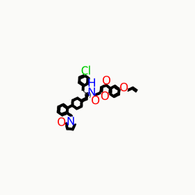 C=CCOc1ccc2oc(C(=O)N[C@H](C=C3CCC(c4ccccc4CN4CCCC4=O)CC3)Cc3ccc(Cl)cc3)cc(=O)c2c1